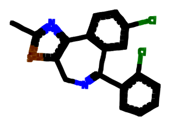 Cc1nc2c(s1)CN=C(c1ccccc1Cl)c1cc(Cl)ccc1-2